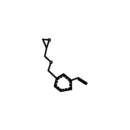 C=Cc1cccc(COCC2CO2)c1